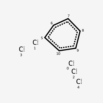 [C].[C].[C].[C].[C].c1ccccc1